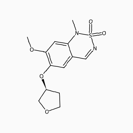 COc1cc2c(cc1O[C@H]1CCOC1)C=NS(=O)(=O)N2C